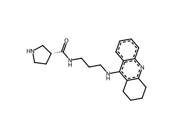 O=C(NCCCNc1c2c(nc3ccccc13)CCCC2)[C@@H]1CCNC1